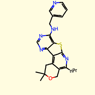 CCCc1nc2sc3c(NCc4cccnc4)ncnc3c2c2c1COC(C)(C)C2